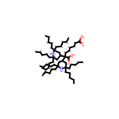 CCCCCC1(CCCCC)CC(C(CCCCCC(=O)O)(C(=O)O)C2CC(CCCCC)(CCCCC)NC(CCCCC)(CCCCC)C2)CC(CCCCC)(CCCCC)N1